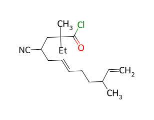 C=CC(C)CCC=CCC(C#N)CC(C)(CC)C(=O)Cl